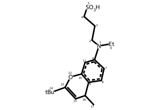 CCN(CCCS(=O)(=O)O)c1ccc2c(c1)OC(C(C)(C)C)=CC2C